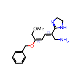 COC/C(=C\C=C(/CN)C1=NCCN1)OCc1ccccc1